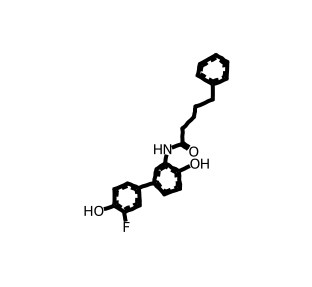 O=C(CCCCc1ccccc1)Nc1cc(-c2ccc(O)c(F)c2)ccc1O